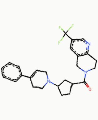 O=C(C1CCC(N2CC=C(c3ccccc3)CC2)C1)N1CCc2ncc(C(F)(F)F)cc2C1